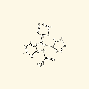 NC(=O)n1c(-c2ccccc2)c(-c2ccccc2)c2ccccc21